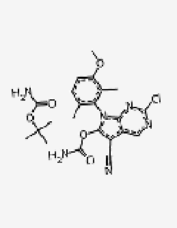 CC(C)(C)OC(N)=O.COc1ccc(C)c(-n2c(OC(N)=O)c(C#N)c3cnc(Cl)nc32)c1C